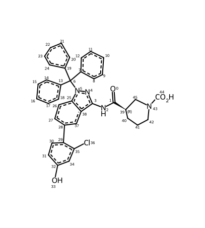 O=C(Nc1nn(C(c2ccccc2)(c2ccccc2)c2ccccc2)c2ccc(-c3ccc(O)cc3Cl)cc12)[C@@H]1CCCN(C(=O)O)C1